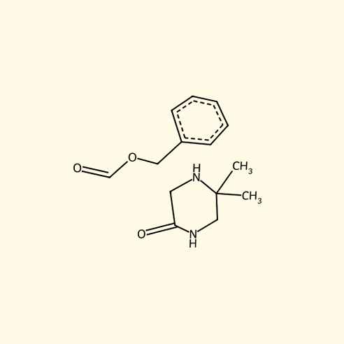 CC1(C)CNC(=O)CN1.O=COCc1ccccc1